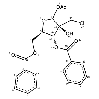 CC(=O)OC1O[C@H](COC(=O)c2ccccc2)[C@@H](OC(=O)c2ccccc2)[C@@]1(O)CCl